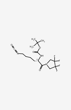 CC(C)(C)OC(=O)N[C@@H](CCCCN=C=O)C(=O)N1CC(F)(F)C(F)(F)C1